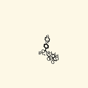 CC(C)C[C@H](NC(=O)c1ccc(N2CCN(C)CC2)cc1)C(=O)N1C[C@@H](C)[C@H]2OCC(=O)[C@H]21